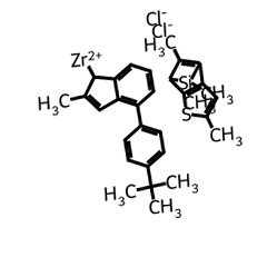 CC1=C2c3cc(C)sc3C1[Si]2(C)C.CC1=Cc2c(-c3ccc(C(C)(C)C)cc3)cccc2[CH]1[Zr+2].[Cl-].[Cl-]